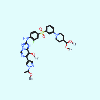 CCOC(OCC)C1CCN(c2cccc(S(=O)(=O)c3ccc(Nc4nc5c(OC(C)C)c(-c6cnn(C(C)OCC)c6)ncn5n4)c(F)c3)c2)CC1